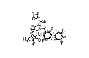 CC(F)S(=O)(=O)N[C@@H]1[C@H](Cc2cc(F)cc(-c3cc(F)cc(F)c3)c2F)N(C(=O)[C@H]2CCO2)CC12CC2